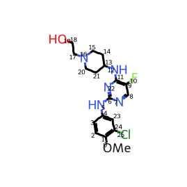 COc1ccc(Nc2ncc(F)c(NC3CCN(CCO)CC3)n2)cc1Cl